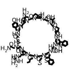 CCCC[C@H]1C(=O)N[C@@H](CCCNC(=N)N)C(=O)NC(C(=O)NCC(N)=O)CSCC(=O)N[C@@H](Cc2ccc(O)cc2)C(=O)N(C)[C@@H](C)C(=O)N[C@@H](CC(N)=O)C(=O)N2CCC[C@H]2C(=O)N[C@@H](CO)C(=O)N[C@@H](CC(C)C)C(=O)N2CCC[C@H]2C(=O)N[C@@H](Cc2c[nH]c3ccccc23)C(=O)N[C@@H](CO)C(=O)N[C@@H](Cc2csc3ccccc23)C(=O)N(C)[C@@H](CCSC)C(=O)N1C